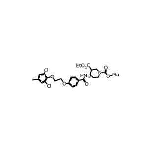 CCOC(=O)C1CN(C(=O)OC(C)(C)C)CC[C@@H]1NC(=O)c1ccc(OCCOc2c(Cl)cc(C)cc2Cl)cc1